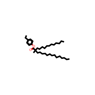 CCCCCCCCCCCCCCC(C)(CCCCCCCCCCCC)C(=O)Oc1ccc(CC)cc1